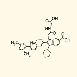 Cc1nc(C)c(-c2ccc3cc(-c4c(C5CCCCC5)c5ccc(C(=O)O)cc5n4CC(=O)NCC(=O)O)ccc3n2)s1